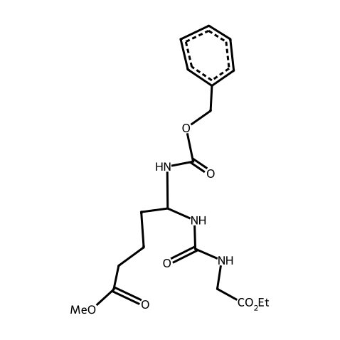 CCOC(=O)CNC(=O)NC(CCCC(=O)OC)NC(=O)OCc1ccccc1